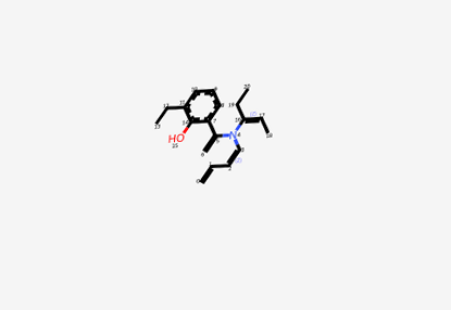 C=C/C=C\N(C(=C)c1cccc(CC)c1O)/C(=C\C)CC